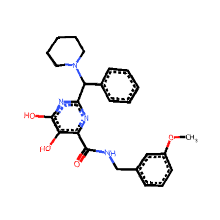 COc1cccc(CNC(=O)c2nc(C(c3ccccc3)N3CCCCC3)nc(O)c2O)c1